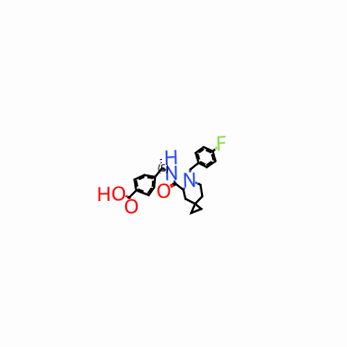 C[C@H](NC(=O)C1CC2(CCN1Cc1ccc(F)cc1)CC2)c1ccc(C(=O)O)cc1